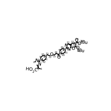 C=N/C(=N\C=C(/C)C(=O)O)N1CCN(CCOCCC(=O)N2CCN(c3ncc(CN(C(=O)OC(C)(C)C)C(=O)OC(C)(C)C)cn3)CC2)CC1